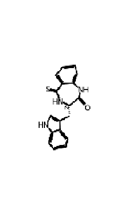 O=C1Nc2ccccc2C(=S)N[C@H]1Cc1c[nH]c2ccccc12